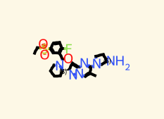 CCS(=O)(=O)c1ccc(F)c(C(=O)N2CCCC[C@H]2c2cc3nc(N4CC[C@H](N)C4)c(C)cn3n2)c1